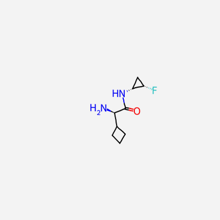 N[C@@H](C(=O)N[C@@H]1C[C@@H]1F)C1CCC1